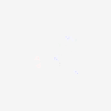 Cc1cc2c(cc1C#N)c(-c1ccc(F)c(N)c1Cl)cn2C1CCC2(CC1)OCCO2